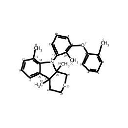 Cc1ccccc1Oc1cccc(N2c3c(C)cccc3C3(C)CCCCC23C)c1C